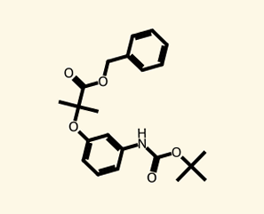 CC(C)(C)OC(=O)Nc1cccc(OC(C)(C)C(=O)OCc2ccccc2)c1